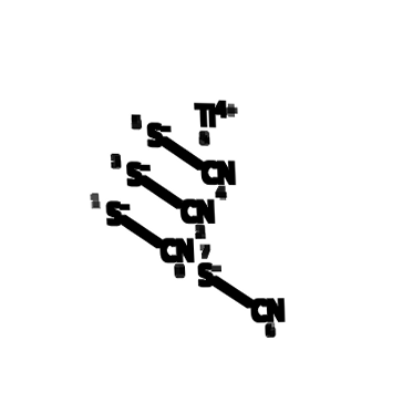 N#C[S-].N#C[S-].N#C[S-].N#C[S-].[Ti+4]